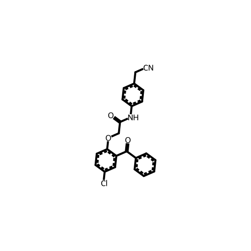 N#CCc1ccc(NC(=O)COc2ccc(Cl)cc2C(=O)c2ccccc2)cc1